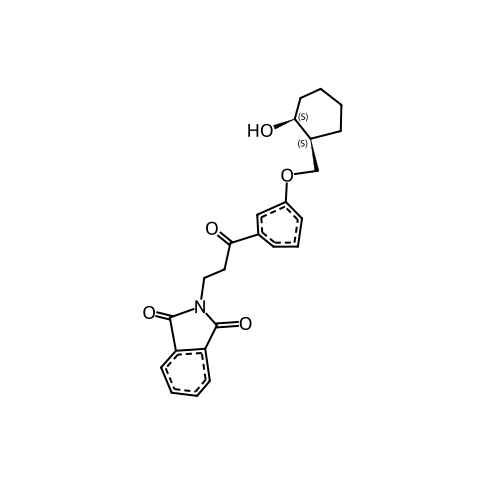 O=C(CCN1C(=O)c2ccccc2C1=O)c1cccc(OC[C@@H]2CCCC[C@@H]2O)c1